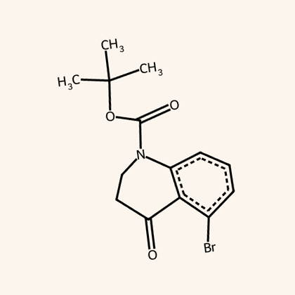 CC(C)(C)OC(=O)N1CCC(=O)c2c(Br)cccc21